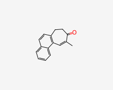 CC1=Cc2c(ccc3ccccc23)CCC1=O